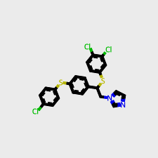 Clc1ccc(Sc2ccc(C(Cn3ccnc3)Sc3ccc(Cl)c(Cl)c3)cc2)cc1